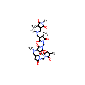 CCC1CC(=O)N(CN2C(=O)CC(CN(C)C3C(=O)N(CN4C(=O)C(C)C(CN(C)CC5C(=O)N(CC)C(=O)C5C)C4=O)C(=O)C3C)C2=O)C1=O